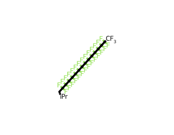 CC(C)CC(F)(F)C(F)(F)C(F)(F)C(F)(F)C(F)(F)C(F)(F)C(F)(F)C(F)(F)C(F)(F)C(F)(F)C(F)(F)C(F)(F)C(F)(F)C(F)(F)C(F)(F)F